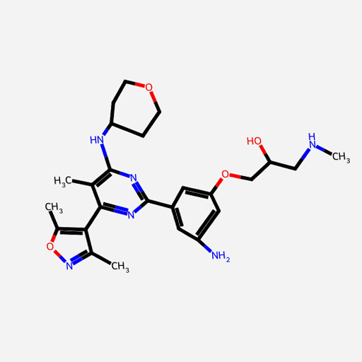 CNCC(O)COc1cc(N)cc(-c2nc(NC3CCOCC3)c(C)c(-c3c(C)noc3C)n2)c1